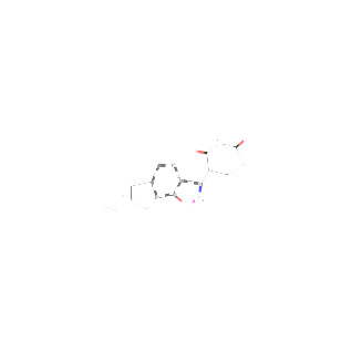 O=C1CCC(c2noc3c4c(ccc23)C[C@@H](CO)C4)C(=O)N1